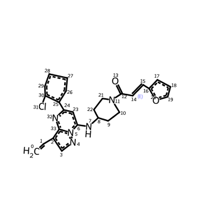 C=Cc1cnn2c(NC3CCN(C(=O)/C=C/c4ccco4)CC3)cc(-c3ccccc3Cl)nc12